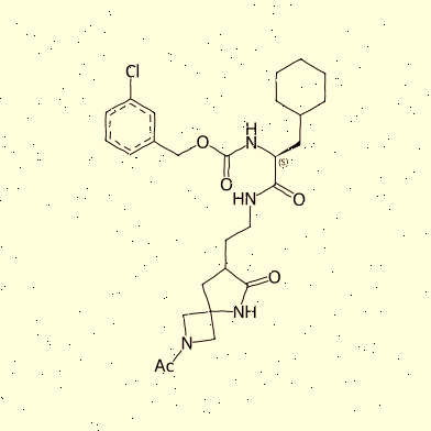 CC(=O)N1CC2(CC(CCNC(=O)[C@H](CC3CCCCC3)NC(=O)OCc3cccc(Cl)c3)C(=O)N2)C1